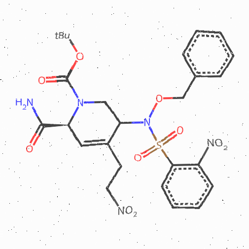 CC(C)(C)OC(=O)N1CC(N(OCc2ccccc2)S(=O)(=O)c2ccccc2[N+](=O)[O-])C(CC[N+](=O)[O-])=C[C@H]1C(N)=O